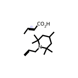 C/C=C/C(=O)O.C=CCN1C(C)(C)CC(C)CC1(C)C